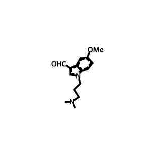 COc1ccc2c(c1)c(C=O)cn2CCCN(C)C